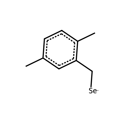 Cc1ccc(C)c(C[Se])c1